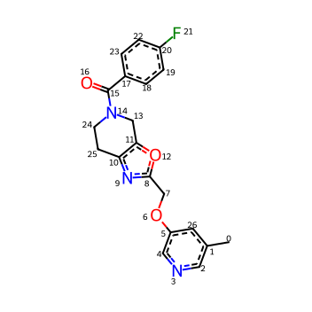 Cc1cncc(OCc2nc3c(o2)CN(C(=O)c2ccc(F)cc2)CC3)c1